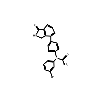 NC(=O)N(c1ccc(-c2cccc3c2CNC3=O)cc1)c1cccc(Br)c1